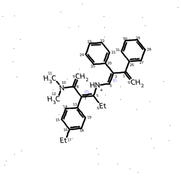 C=C(/C(=C/N/C(CC)=C(\C(=C)N(C)C)c1ccc(CC)cc1)c1ccccc1)c1ccccc1